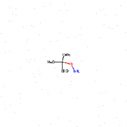 COC(C=O)(OC)ON